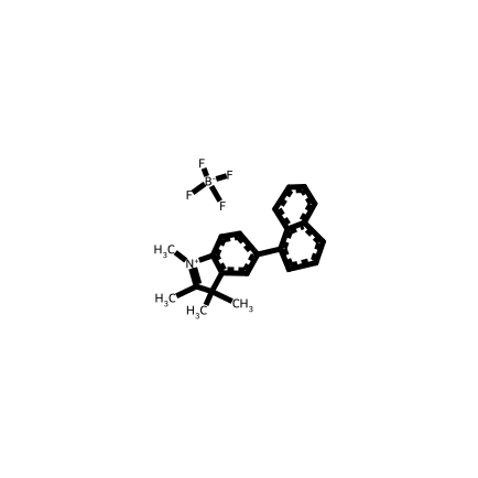 CC1=[N+](C)c2ccc(-c3cccc4ccccc34)cc2C1(C)C.F[B-](F)(F)F